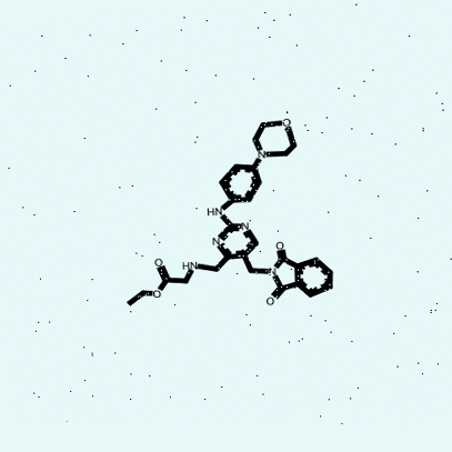 CCOC(=O)CNCc1nc(Nc2ccc(N3CCOCC3)cc2)ncc1CN1C(=O)c2ccccc2C1=O